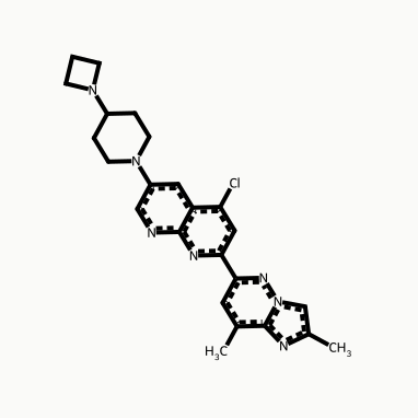 Cc1cn2nc(-c3cc(Cl)c4cc(N5CCC(N6CCC6)CC5)cnc4n3)cc(C)c2n1